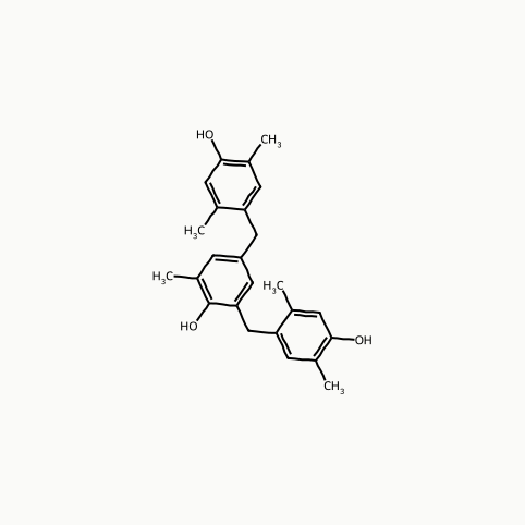 Cc1cc(Cc2cc(C)c(O)c(Cc3cc(C)c(O)cc3C)c2)c(C)cc1O